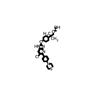 CC(C)(COSO)C1CCC(Oc2nc3nc(C4=CCC(N5CCSCC5)C=C4)c(Cl)cc3[nH]2)CC1